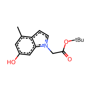 Cc1cc(O)cc2c1ccn2CC(=O)OC(C)(C)C